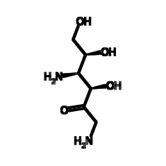 NCC(=O)[C@H](O)[C@@H](N)[C@H](O)CO